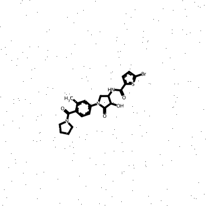 Cc1cc(N2CC(NC(=O)c3ccc(Br)s3)C(O)C2=O)ccc1C(=O)N1CCCC1